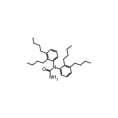 CCCCc1cccc(N(C(N)=O)c2cccc(CCCC)c2CCCC)c1CCCC